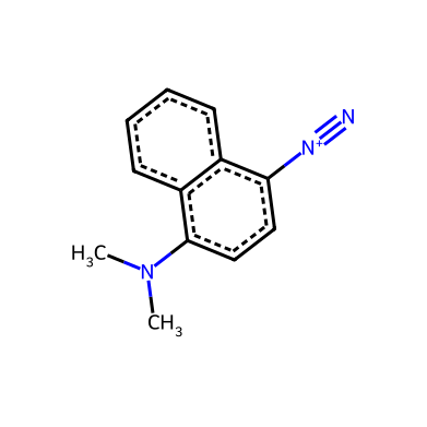 CN(C)c1ccc([N+]#N)c2ccccc12